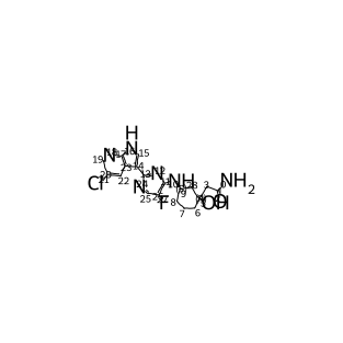 NC(=O)C[C@@]1(O)CCC[C@H](Nc2nc(-c3c[nH]c4ncc(Cl)cc34)ncc2F)C1